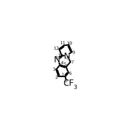 FC(F)(F)c1ccc2c(c1)CN1C=CC=CC1=N2